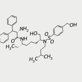 CC[C@@H](CCC[C@@H](CO)N(CCC(C)C)S(=O)(=O)c1ccc(CO)cc1)NC(=O)[C@@H](N)C(c1ccccc1)c1ccccc1